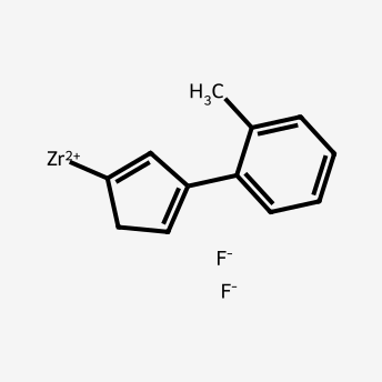 Cc1ccccc1C1=CC[C]([Zr+2])=C1.[F-].[F-]